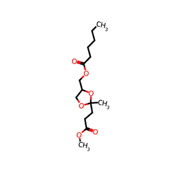 CCCCCC(=O)OCC1COC(C)(CCC(=O)OC)O1